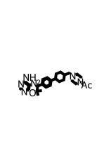 CC(=O)N1CCN(CC2CCC(c3ccc(C4=Nc5c(N)ncnc5OC4(C)C)cc3)CC2)CC1